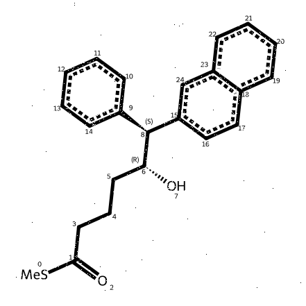 CSC(=O)CCC[C@@H](O)[C@@H](c1ccccc1)c1ccc2ccccc2c1